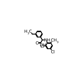 CCc1cccc(C(Nc2c(C)cc(Cl)cc2Cl)C(=O)O)c1